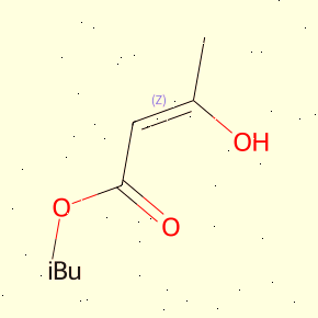 CCC(C)OC(=O)/C=C(/C)O